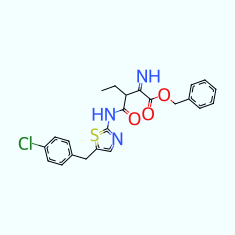 CCC(C(=N)C(=O)OCc1ccccc1)C(=O)Nc1ncc(Cc2ccc(Cl)cc2)s1